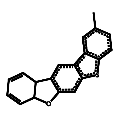 Cc1ccc2sc3cc4c(cc3c2c1)C1C=CC=CC1O4